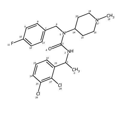 CC(NC(=O)N(Cc1ccc(F)cc1)C1CCN(C)CC1)c1cccc(Cl)c1Cl